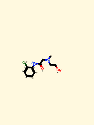 CN(CCO)CC(=O)Nc1ccccc1Cl